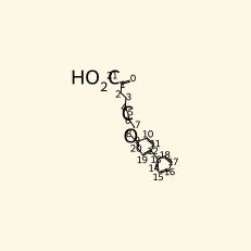 C=C(CCCCCCOc1ccc(-c2ccccc2)cc1)C(=O)O